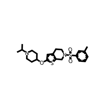 Cc1cccc(S(=O)(=O)N2CCc3cc(OC4CCN(C(C)C)CC4)sc3C2)c1